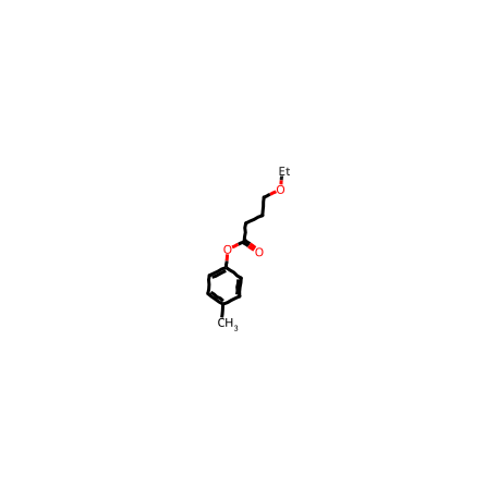 CCOCCCC(=O)Oc1ccc(C)cc1